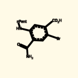 CCCCCNc1cc(C(=O)O)c(Br)cc1C(N)=O